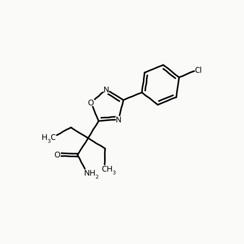 CCC(CC)(C(N)=O)c1nc(-c2ccc(Cl)cc2)no1